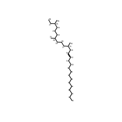 CCCCCCCCCCCCC=CCC(C)CCCC(C)CCCC(C)CC